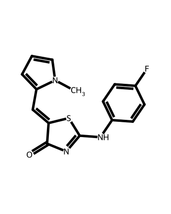 Cn1cccc1C=C1SC(Nc2ccc(F)cc2)=NC1=O